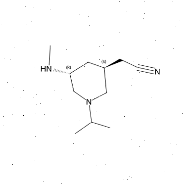 CN[C@@H]1C[C@@H](CC#N)CN(C(C)C)C1